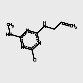 C=CCNc1nc(Cl)nc(NC)n1